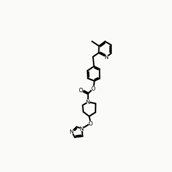 Cc1cccnc1Cc1ccc(OC(=O)N2CCC(On3ccnc3)CC2)cc1